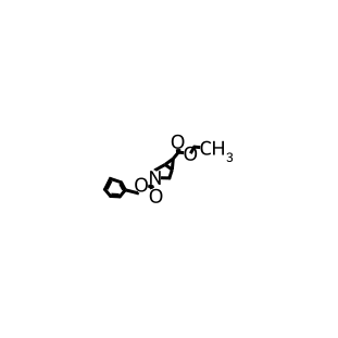 CCOC(=O)C1C2CN(C(=O)OCc3ccccc3)CC21